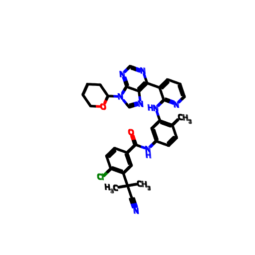 Cc1ccc(NC(=O)c2ccc(Cl)c(C(C)(C)C#N)c2)cc1Nc1ncccc1-c1ncnc2c1ncn2C1CCCCO1